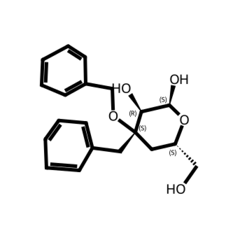 OC[C@@H]1C[C@](Cc2ccccc2)(OCc2ccccc2)[C@@H](O)[C@@H](O)O1